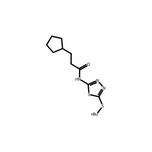 CCCCSc1nnc(NC(=O)CCC2CCCC2)s1